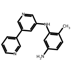 Cc1ccc(N)cc1Nc1cncc(-c2cccnc2)c1